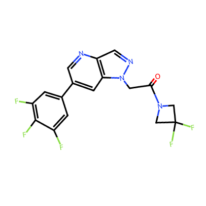 O=C(Cn1ncc2ncc(-c3cc(F)c(F)c(F)c3)cc21)N1CC(F)(F)C1